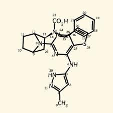 Cc1cc(Nc2nc(N3C4CCC3[C@@H](N(Cc3ccccc3)C(=O)O)C4)nc3ccsc23)[nH]n1